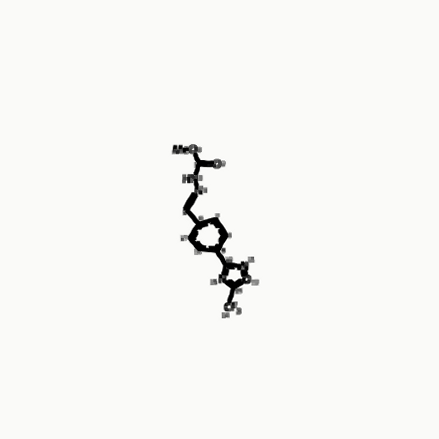 COC(=O)NN=Cc1ccc(-c2noc(C(F)(F)F)n2)cc1